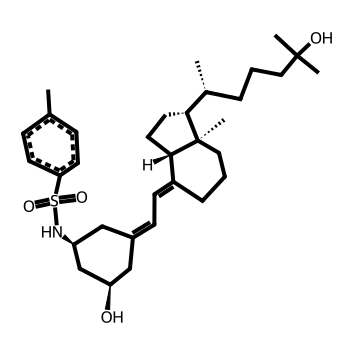 Cc1ccc(S(=O)(=O)N[C@H]2C/C(=C\C=C3/CCC[C@]4(C)[C@@H]([C@H](C)CCCC(C)(C)O)CC[C@@H]34)C[C@@H](O)C2)cc1